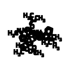 C=Nn1c(/C(N)=N\C)ccc1[C@]1(C)O[C@H](COP(=O)(N[C@@H](C)C(=O)OCC(CC)CC)Oc2ccc(C(C)(C)C)c3ccccc23)[C@@H](OC(C)=O)[C@H]1OC(C)=O